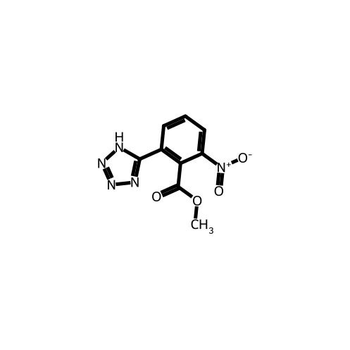 COC(=O)c1c(-c2nnn[nH]2)cccc1[N+](=O)[O-]